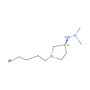 CC(C)CCCCN1CC[C@H](NN(C)C)C1